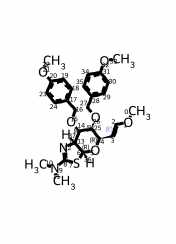 CO/C=C/[C@H]1O[C@@H]2SC(N(C)C)=N[C@@H]2[C@@H](OCc2ccc(OC)cc2)[C@@H]1OCc1ccc(OC)cc1